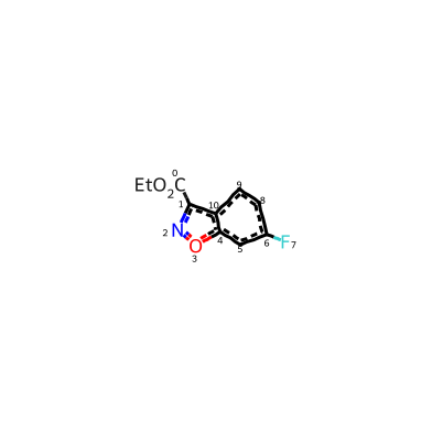 CCOC(=O)c1noc2cc(F)ccc12